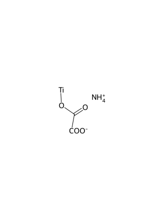 O=C([O-])C(=O)[O][Ti].[NH4+]